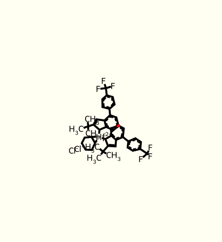 CC(C)(C)C1=Cc2c(-c3ccc(C(F)(F)F)cc3)cccc2[CH]1[Hf+2]1([CH]2C(C(C)(C)C)=Cc3c(-c4ccc(C(F)(F)F)cc4)cccc32)[CH]2CCCC[CH]21.[Cl-].[Cl-]